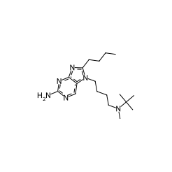 CCCCc1nc2nc(N)ncc2n1CCCCN(C)C(C)(C)C